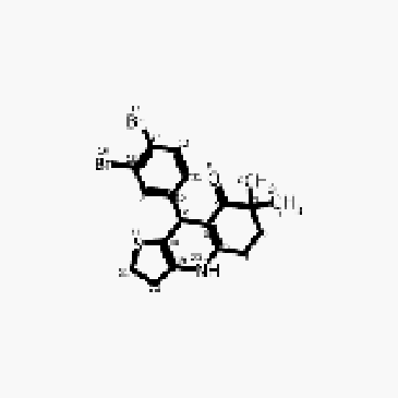 CC1(C)CCC2=C(C1=O)C(c1ccc(Br)c(Br)c1)C1=C(CCS1)N2